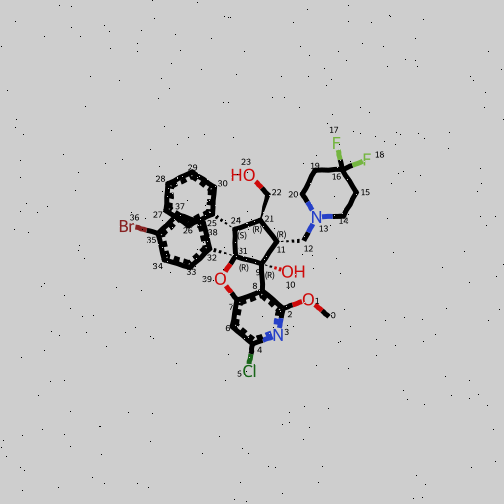 COc1nc(Cl)cc2c1[C@]1(O)[C@@H](CN3CCC(F)(F)CC3)[C@H](CO)[C@@H](c3ccccc3)[C@]1(c1ccc(Br)cc1)O2